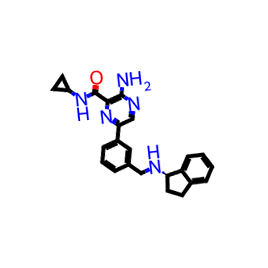 Nc1ncc(-c2cccc(CN[C@H]3CCc4ccccc43)c2)nc1C(=O)NC1CC1